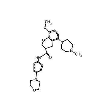 COc1ccc(N2CCN(C)CC2)c2c1OCC(C(=O)Nc1ccc(N3CCOCC3)cc1)C2